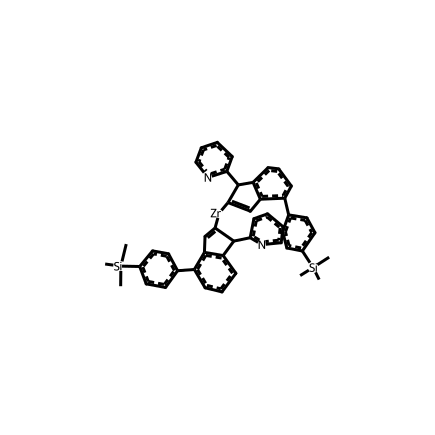 C[Si](C)(C)c1ccc(-c2cccc3c2C=[C]([Zr][C]2=Cc4c(-c5ccc([Si](C)(C)C)cc5)cccc4C2c2ccccn2)C3c2ccccn2)cc1